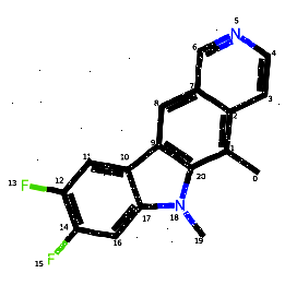 Cc1c2ccncc2cc2c3cc(F)c(F)cc3n(C)c12